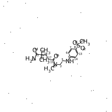 CN(CCNc1ccc(S(C)(=O)=O)cc1)C(=O)[CH]CC(C)(C)C(N)=O